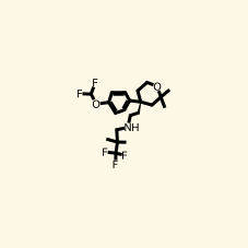 CC1(C)C[C@](CCNCC(C)(C)C(F)(F)F)(c2ccc(OC(F)F)cc2)CCO1